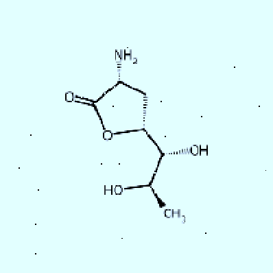 C[C@@H](O)[C@@H](O)[C@H]1C[C@@H](N)C(=O)O1